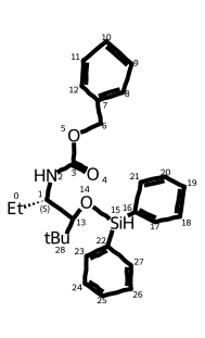 CC[C@H](NC(=O)OCc1ccccc1)C(O[SiH](c1ccccc1)c1ccccc1)C(C)(C)C